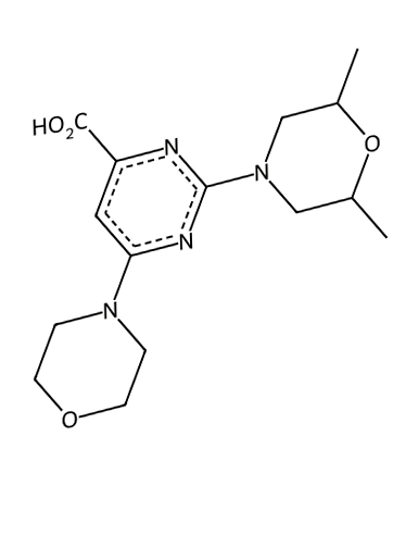 CC1CN(c2nc(C(=O)O)cc(N3CCOCC3)n2)CC(C)O1